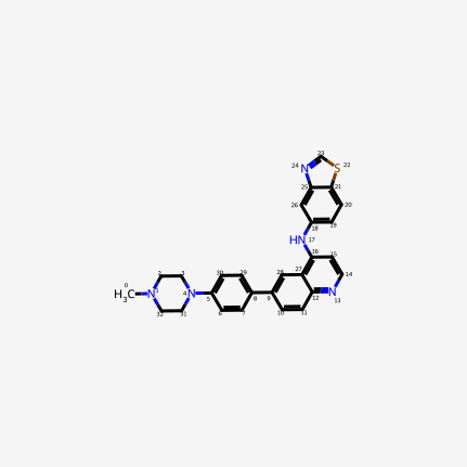 CN1CCN(c2ccc(-c3ccc4nccc(Nc5ccc6scnc6c5)c4c3)cc2)CC1